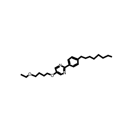 CCCCCCCCc1ccc(-c2ncc(OCCCCOCC)cn2)cc1